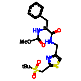 COC(=O)N[C@@H](Cc1ccccc1)C(=O)NCc1csc(CS(=O)(=O)C(C)(C)C)n1